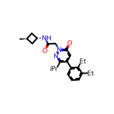 CCc1cccc(-c2cc(=O)n(CC(=O)N[C@H]3C[C@H](C)C3)nc2C(C)C)c1CC